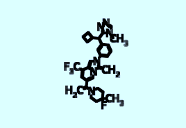 C=C(C1=CN2C(=C)N(c3cccc(C(c4nncn4C)C4CCC4)c3)C=C2C(C(F)(F)F)=C1)N1CCC(C)(F)CC1